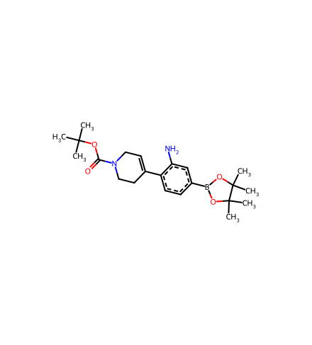 CC(C)(C)OC(=O)N1CC=C(c2ccc(B3OC(C)(C)C(C)(C)O3)cc2N)CC1